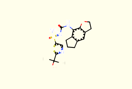 CC(C)(O)c1ncc([S@@](N)(=O)=NC(=O)Nc2c3c(cc4c2OCC4)CCC3)s1